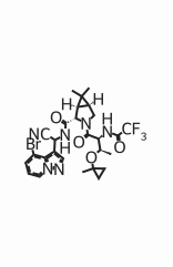 C[C@@H](OC1(C)CC1)[C@H](NC(=O)C(F)(F)F)C(=O)N1C[C@H]2[C@@H]([C@H]1C(=O)NC(C#N)c1cnn3cccc(Br)c13)C2(C)C